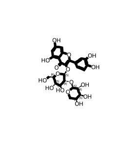 O=c1c(O[C@@H]2O[C@H](CO)[C@@H](O)[C@H](O)[C@H]2O[C@@H]2OC[C@@H](O)[C@H](O)[C@H]2O)c(-c2ccc(O)c(O)c2)oc2cc(O)cc(O)c12